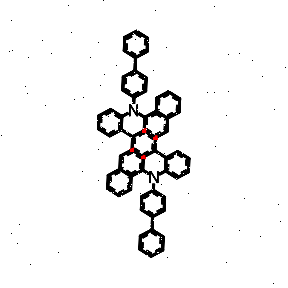 c1ccc(-c2ccc(N(c3ccccc3-c3ccc(-c4ccccc4N(c4ccc(-c5ccccc5)cc4)c4cccc5ccccc45)cc3)c3cccc4ccccc34)cc2)cc1